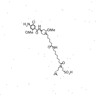 COc1cc(N)c(Cl)cc1C(=O)N[C@@H]1CCN(CCCCCC(=O)NCCCCCCCC(=O)N(CCCN(C)C)CCS(=O)(=O)O)C(OC)C1